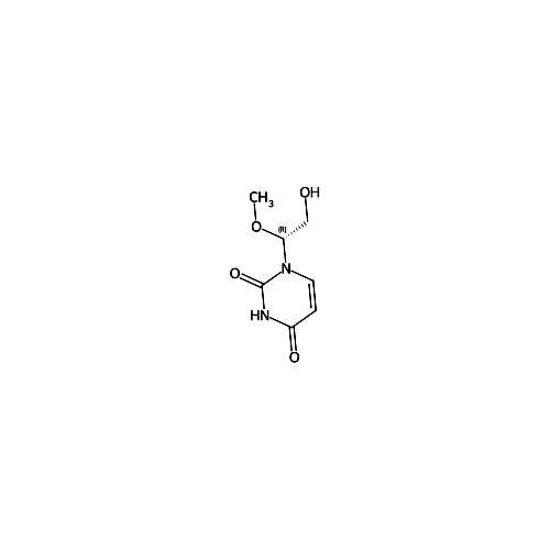 CO[C@H](CO)n1ccc(=O)[nH]c1=O